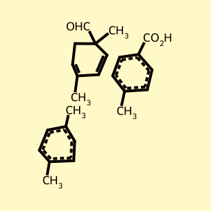 CC1=CCC(C)(C=O)C=C1.Cc1ccc(C(=O)O)cc1.Cc1ccc(C)cc1